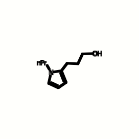 CCCn1cccc1CCCO